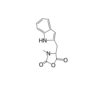 CN1C(=O)OC(=O)C1Cc1cc2ccccc2[nH]1